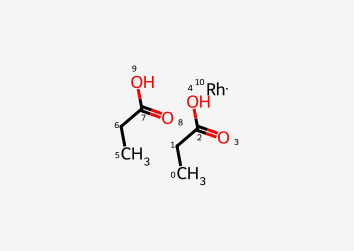 CCC(=O)O.CCC(=O)O.[Rh]